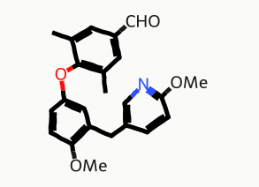 COc1ccc(Cc2cc(Oc3c(C)cc(C=O)cc3C)ccc2OC)cn1